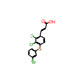 O=C(O)C=Cc1ccc(Sc2cccc(Br)c2)c(Cl)c1Cl